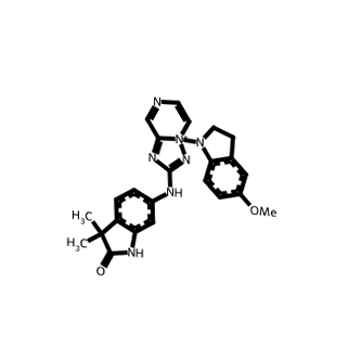 COc1ccc2c(c1)CCN2[N+]12C=CN=CC1=NC(Nc1ccc3c(c1)NC(=O)C3(C)C)=N2